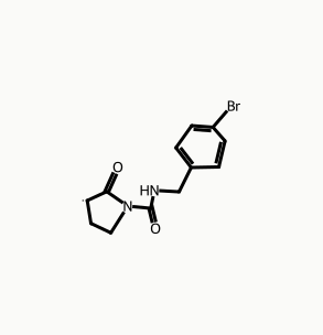 O=C1[CH]CCN1C(=O)NCc1ccc(Br)cc1